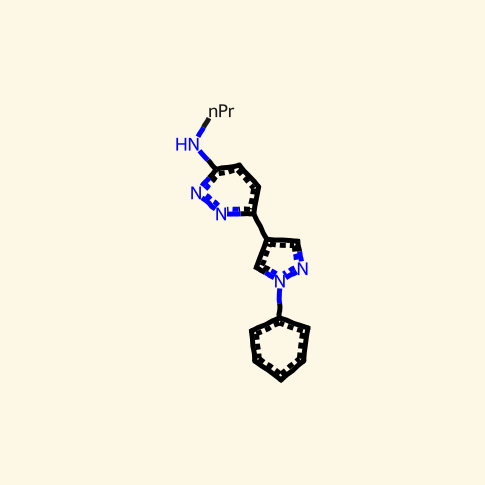 CCCNc1ccc(-c2cnn(-c3ccccc3)c2)nn1